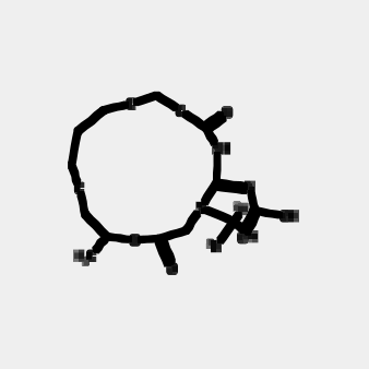 [2H]C([2H])([2H])N1CC(=O)OC(C)CCCCCCCCC(=O)NC1=NC(=O)O